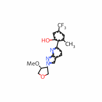 CO[C@@H]1COC[C@H]1n1cc2ccc(-c3c(C)cc(C(F)(F)F)cc3O)nc2n1